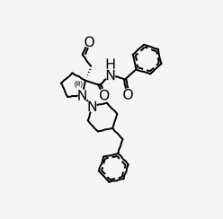 O=CC[C@@]1(C(=O)NC(=O)c2ccccc2)CCCN1N1CCC(Cc2ccccc2)CC1